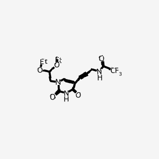 CCOC(Cn1cc(C#CCNC(=O)C(F)(F)F)c(=O)[nH]c1=O)OCC